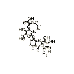 CC[C@@H]1CCC[C@@H](O[C@@H]2OC(CO)[C@H](O)C3O[C@@H](C(=O)O)CCCCOC32)C1OC1OC(C)[C@@H](O)C(O)[C@@H]1O